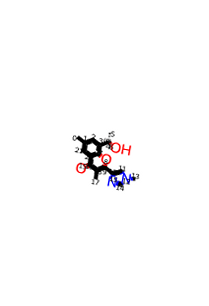 Cc1cc([C@H](C)O)c2oc(-c3cn(C)cn3)c(C)c(=O)c2c1